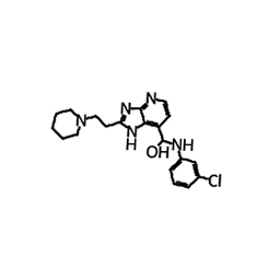 OC(Nc1cccc(Cl)c1)c1ccnc2nc(CCN3CCCCC3)[nH]c12